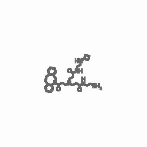 NCCNC(=O)CCN(CCC(=O)NCCNC1CCC1)CCC(=O)N1Cc2ccccc2/C=C\c2ccccc21